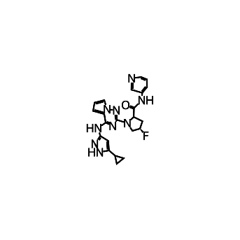 O=C(Nc1cccnc1)C1C[C@@H](F)CN1c1nc(Nc2cc(C3CC3)[nH]n2)c2cccn2n1